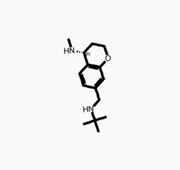 CN[C@@H]1CCOc2cc(CNC(C)(C)C)ccc21